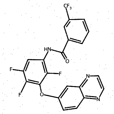 O=C(Nc1cc(F)c(F)c(Oc2ccc3nccnc3c2)c1F)c1cccc(C(F)(F)F)c1